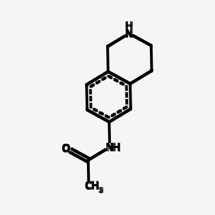 CC(=O)Nc1ccc2c(c1)CCNC2